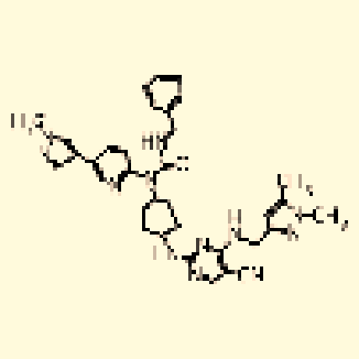 Cc1cc(CNc2nc(NC3CCC(N(C(=O)NCc4ccccc4)c4ccc(-c5cnn(C)c5)cn4)CC3)ncc2C#N)nn1C